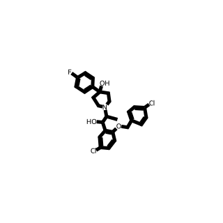 CC(C(O)c1cc(Cl)ccc1OCc1ccc(Cl)cc1)N1CCC(O)(c2ccc(F)cc2)CC1